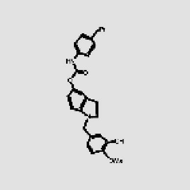 COc1ccc(CN2CCc3cc(OC(=O)Nc4ccc(C(C)C)cc4)ccc32)cc1O